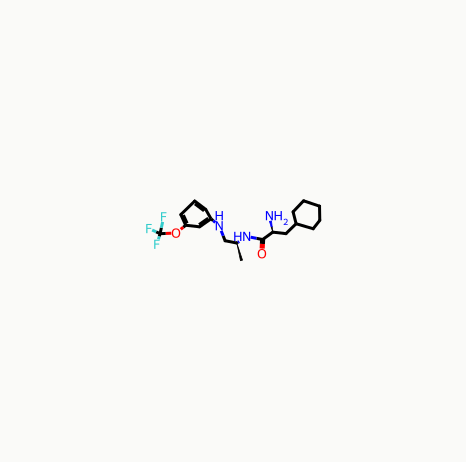 C[C@@H](CNc1cccc(OC(F)(F)F)c1)NC(=O)[C@@H](N)CC1CCCCC1